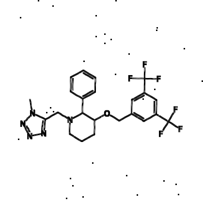 Cn1nnnc1CN1CCCC(OCc2cc(C(F)(F)F)cc(C(F)(F)F)c2)C1c1ccccc1